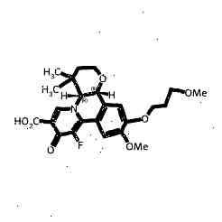 COCCCOc1cc2c(cc1OC)-c1c(F)c(=O)c(C(=O)O)cn1[C@H]1[C@@H]2OCCC1(C)C